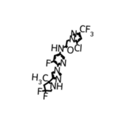 CC1(c2cn(-c3ncc(NC(=O)Cn4nc(C(F)(F)F)cc4Cl)cc3F)cn2)CC(F)(F)CN1